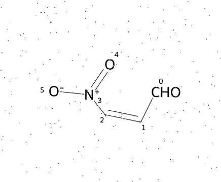 O=C/C=C\[N+](=O)[O-]